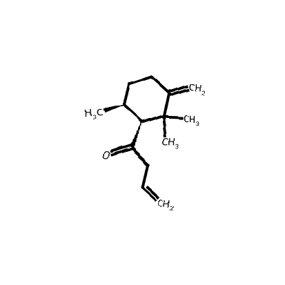 C=CCC(=O)[C@H]1[C@@H](C)CCC(=C)C1(C)C